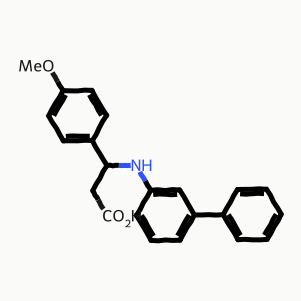 COc1ccc(C(CC(=O)O)Nc2cccc(-c3ccccc3)c2)cc1